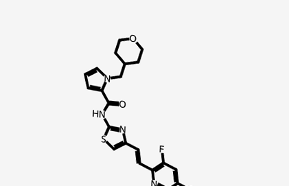 O=C(Nc1nc(/C=C/c2ncc(F)cc2F)cs1)c1cccn1CC1CCOCC1